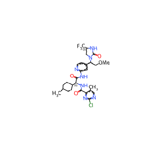 COCC(c1ccnc(NC(=O)[C@@H](NC(=O)c2nc(Cl)ncc2C)C2CCC(C)CC2)c1)N1C[C@@H](C(F)(F)F)NC1=O